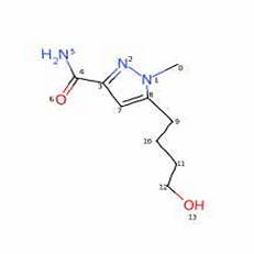 Cn1nc(C(N)=O)cc1CCCCO